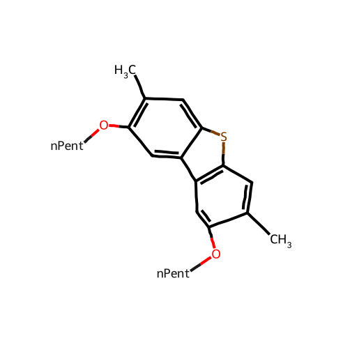 CCCCCOc1cc2c(cc1C)sc1cc(C)c(OCCCCC)cc12